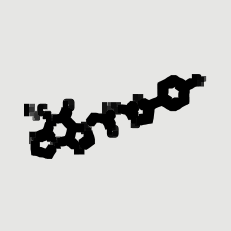 CN1C(=O)C2C(N=CN2CC(=O)Nc2nc(-c3ccc(Br)cc3)cs2)N2CCN=C12